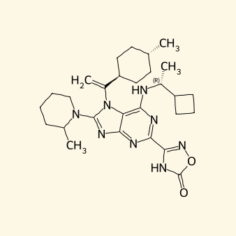 C=C([C@H]1CC[C@H](C)CC1)n1c(N2CCCCC2C)nc2nc(-c3noc(=O)[nH]3)nc(N[C@H](C)C3CCC3)c21